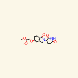 COC(COc1ccc2c(c1)CN(C1CCC(=O)NC1=O)C2=O)OC